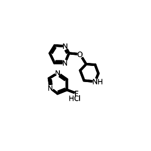 Cl.Fc1cncnc1.c1cnc(OC2CCNCC2)nc1